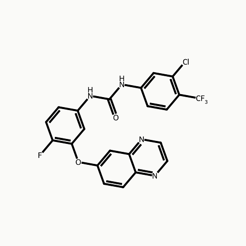 O=C(Nc1ccc(C(F)(F)F)c(Cl)c1)Nc1ccc(F)c(Oc2ccc3nccnc3c2)c1